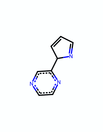 C1=C[C](c2cnccn2)N=C1